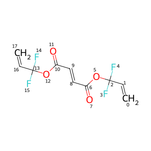 C=CC(F)(F)OC(=O)/C=C/C(=O)OC(F)(F)C=C